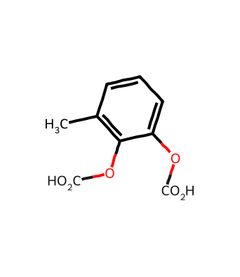 Cc1cccc(OC(=O)O)c1OC(=O)O